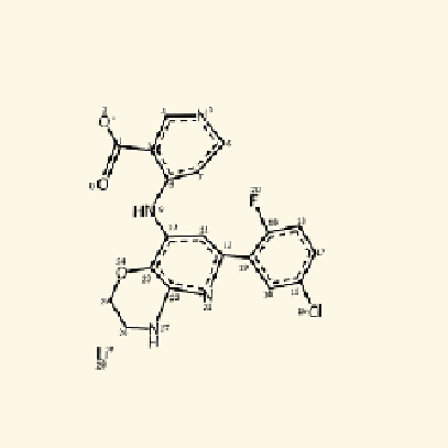 O=C([O-])c1cnccc1Nc1cc(-c2cc(Cl)ccc2F)nc2c1OCCN2.[Li+]